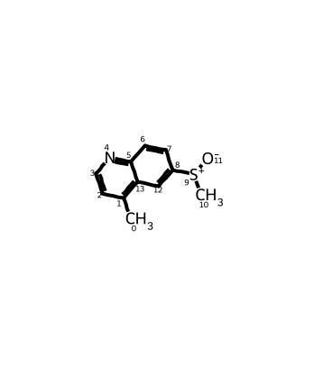 Cc1ccnc2ccc([S+](C)[O-])cc12